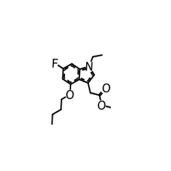 CCCCOc1cc(F)cc2c1c(CC(=O)OC)cn2CC